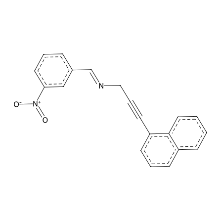 O=[N+]([O-])c1cccc(C=NCC#Cc2cccc3ccccc23)c1